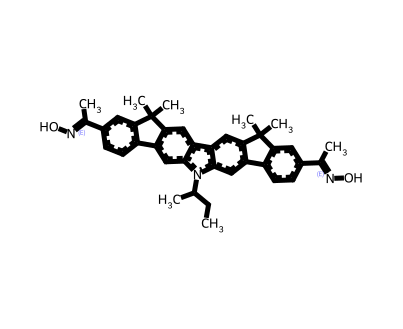 CCC(C)n1c2cc3c(cc2c2cc4c(cc21)-c1ccc(/C(C)=N/O)cc1C4(C)C)C(C)(C)c1cc(/C(C)=N/O)ccc1-3